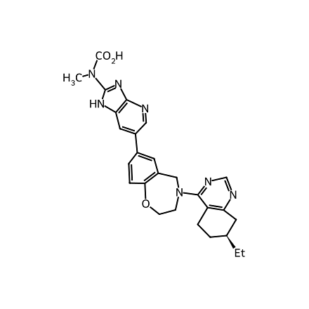 CC[C@H]1CCc2c(ncnc2N2CCOc3ccc(-c4cnc5nc(N(C)C(=O)O)[nH]c5c4)cc3C2)C1